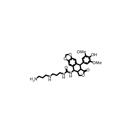 COc1cc(C2c3cc4c(cc3C(NC(=O)NCCCNCCCN)C3COC(=O)C23)OCO4)cc(OC)c1O